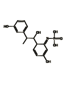 CC(c1cccc(O)c1)C(O)C1C=CC(O)=C/C1=N\P(=O)(O)O